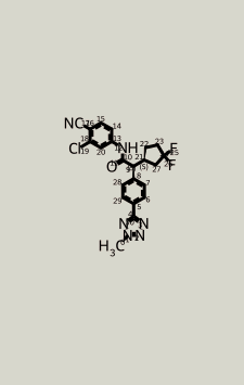 Cn1nnc(-c2ccc([C@@H](C(=O)Nc3ccc(C#N)c(Cl)c3)[C@H]3CCC(F)(F)C3)cc2)n1